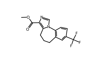 COC(=O)c1ncn2c1CCCc1cc(C(F)(F)F)ccc1-2